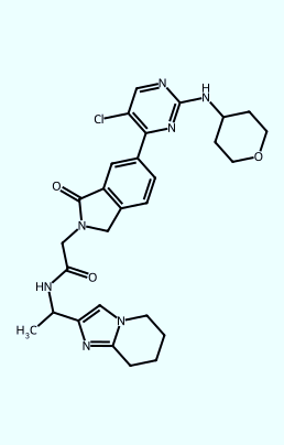 CC(NC(=O)CN1Cc2ccc(-c3nc(NC4CCOCC4)ncc3Cl)cc2C1=O)c1cn2c(n1)CCCC2